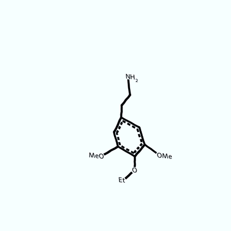 CCOc1c(OC)cc(CCN)cc1OC